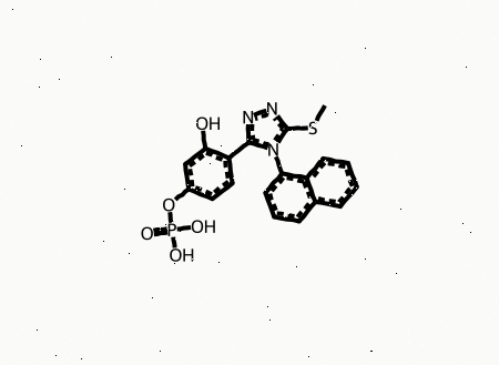 CSc1nnc(-c2ccc(OP(=O)(O)O)cc2O)n1-c1cccc2ccccc12